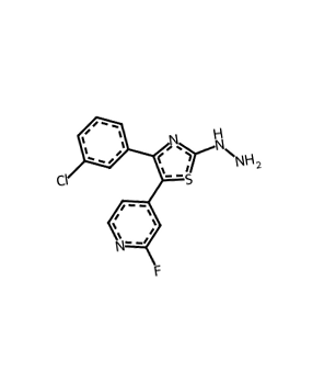 NNc1nc(-c2cccc(Cl)c2)c(-c2ccnc(F)c2)s1